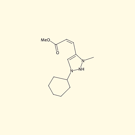 COC(=O)/C=C\C1=CN(C2CCCCC2)NN1C